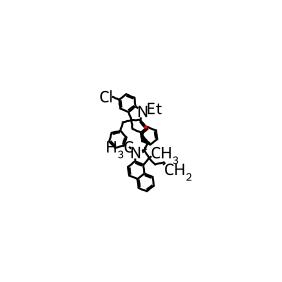 C=CCC1(C)C(/C=C/C=C2/N(CC)c3ccc(Cl)cc3C2(Cc2ccccc2)Cc2ccccc2)=[N+](C)c2ccc3ccccc3c21